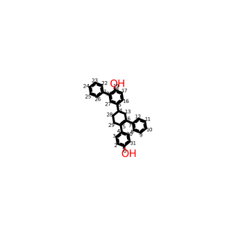 Oc1ccc(C2=C(c3ccccc3)CC(c3ccc(O)c(-c4ccccc4)c3)CC2)cc1